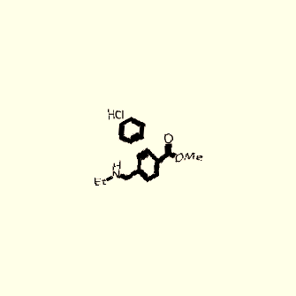 CCNCc1ccc(C(=O)OC)cc1.Cl.c1ccccc1